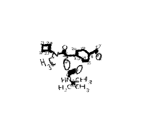 CN(C(=O)[C@@H](OC(=O)NC(C)(C)C)C1CCC(C=O)CC1)C1CCC1